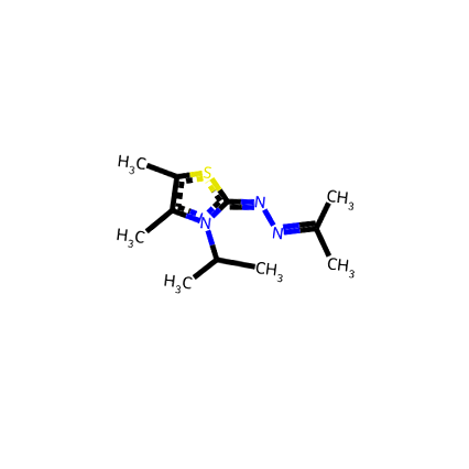 CC(C)=NN=c1sc(C)c(C)n1C(C)C